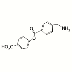 NCc1ccc(C(=O)Oc2ccc(C(=O)O)cc2)cc1